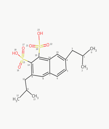 CC(C)Cc1ccc2cc(CC(C)C)c(S(=O)(=O)O)c(S(=O)(=O)O)c2c1